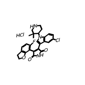 CC1(C)CNCCC1n1cc(C2=C(c3c(F)ccc4c3OCC4)C(=O)NC2=O)c2cc(Cl)ccc21.Cl